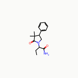 CCC(C(N)=O)N1CC(c2ccccc2)C(C)(C)C1=O